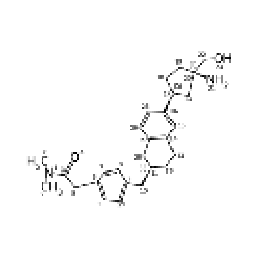 CN(C)C(=O)Cc1ccc(C[C@@H]2CCc3cc([C@H]4CC[C@](N)(CO)C4)ccc3C2)cc1